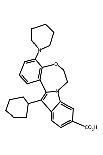 O=C(O)c1ccc2c(C3CCCCC3)c3n(c2c1)CCOc1c-3cccc1N1CCCCC1